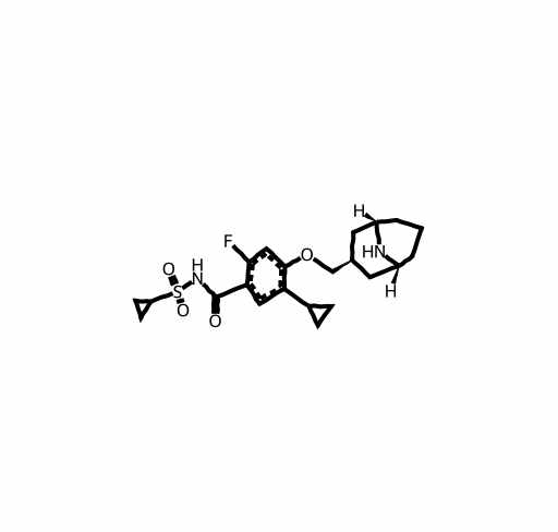 O=C(NS(=O)(=O)C1CC1)c1cc(C2CC2)c(OC[C@@H]2C[C@H]3CCC[C@@H](C2)N3)cc1F